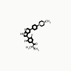 CN1CCN(c2ccc(-c3cnc4[nH]cc(-c5c(F)cc(C(=O)N(C)C)cc5F)c4c3)cc2)CC1